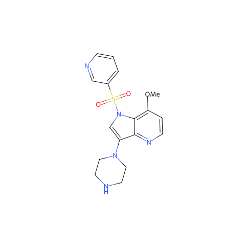 COc1ccnc2c(N3CCNCC3)cn(S(=O)(=O)c3cccnc3)c12